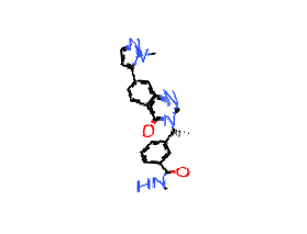 CNC(=O)c1cccc([C@@H](C)n2cnc3cc(-c4ccnn4C)ccc3c2=O)c1